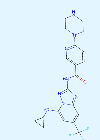 O=C(Nc1nc2cc(C(F)(F)F)cc(NC3CC3)n2n1)c1ccc(N2CCNCC2)nc1